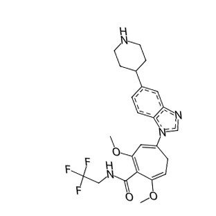 COC1=CCC(n2cnc3cc(C4CCNCC4)ccc32)=CC(OC)=C1C(=O)NCC(F)(F)F